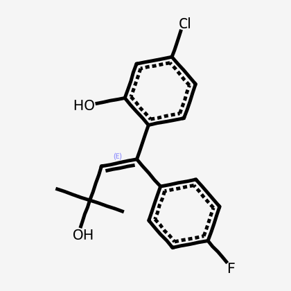 CC(C)(O)/C=C(\c1ccc(F)cc1)c1ccc(Cl)cc1O